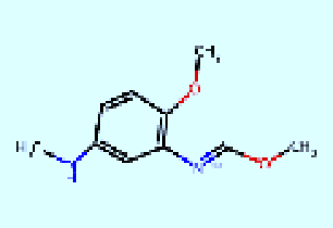 CNc1ccc(OC)c(/N=C/OC)c1